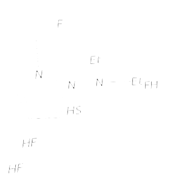 CCN(S)CC.F.F.F.FCn1cccn1